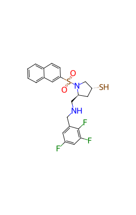 O=S(=O)(c1ccc2ccccc2c1)N1C[C@H](S)C[C@H]1CNCc1cc(F)cc(F)c1F